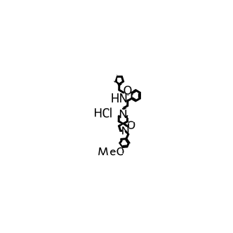 COc1ccc(CN2CCC3(CCN(CCC(NC(=O)CC4CCCC4)c4ccccc4)CC3)C2=O)cc1.Cl